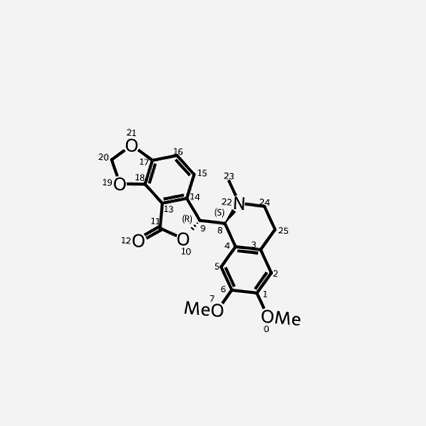 COc1cc2c(cc1OC)[C@@H]([C@@H]1OC(=O)c3c1ccc1c3OCO1)N(C)CC2